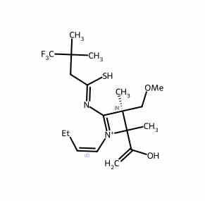 C=C(O)C1(C)[N+](/C=C\CC)=C(N=C(S)CC(C)(C)C(F)(F)F)[C@@]1(C)COC